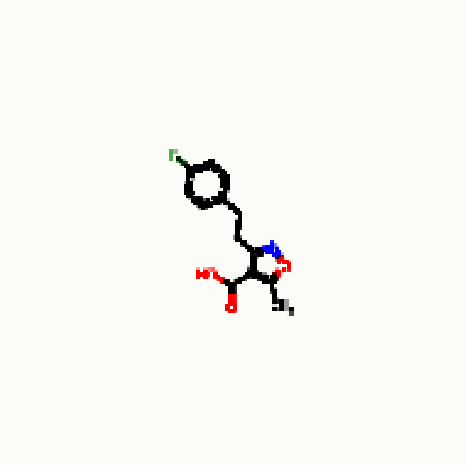 Cc1onc(CCc2ccc(F)cc2)c1C(=O)O